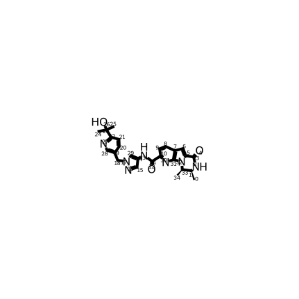 C[C@@H]1NC(=O)c2cc3ccc(C(=O)Nc4cnn(Cc5ccc(C(C)(C)O)nc5)c4)nc3n2[C@@H]1C